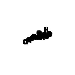 O=C(Nc1ccc2c(c1)nc(CN1CCC(c3cccc(OCc4ccc(Cl)cc4F)n3)CC1)n2CC1CCO1)c1ccccn1